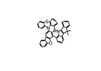 CC1(C)c2ccccc2-c2c1c1cccc3c1n2B1c2cccc4c2N(c2ccccc2S4)c2cc4c(oc5ccccc54)c-3c21